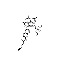 C#CCCCC(=O)Nc1ccc2cc(O[C@H]3O[C@H](CCP(=O)(OCC)OCC)[C@@H](OC(C)=O)[C@H](OC(C)=O)[C@@H]3OC(C)=O)ccc2n1